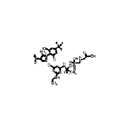 CCNc1nc(Cl)nc(NC(C)(C)C)n1.Nc1c([N+](=O)[O-])cnn1-c1c(Cl)cc(C(F)(F)F)cc1Cl.O=C(O)CNCP(=O)(O)O